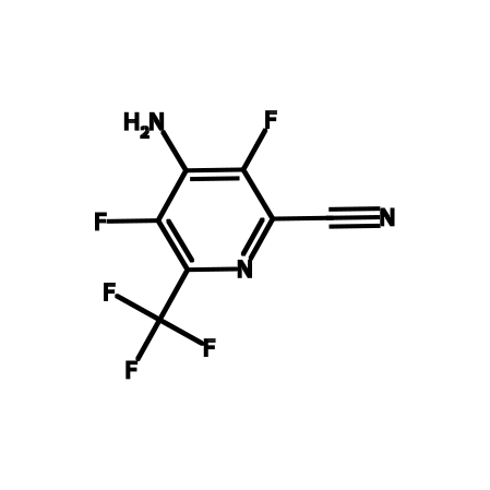 N#Cc1nc(C(F)(F)F)c(F)c(N)c1F